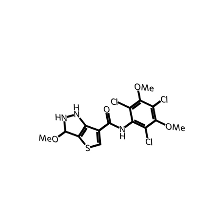 COc1c(Cl)c(NC(=O)c2csc3c2NNC3OC)c(Cl)c(OC)c1Cl